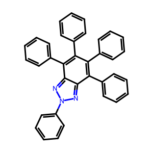 c1ccc(-c2c(-c3ccccc3)c(-c3ccccc3)c3nn(-c4ccccc4)nc3c2-c2ccccc2)cc1